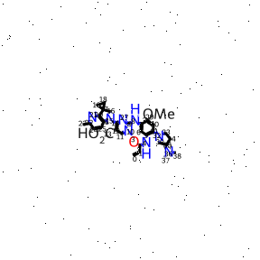 C=CC(=O)Nc1cc(Nc2ncc(C(=O)O)c(N3CC4(CC4)c4nc(C)ccc43)n2)c(OC)cc1N1CC[C@@H](N(C)C)C1